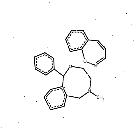 C1=Cc2ccccc2ON=C1.CN1CCOC(c2ccccc2)c2ccccc2C1